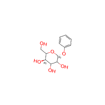 OCC1O[C@H](Oc2ccccc2)C(O)C(O)[C@H]1O